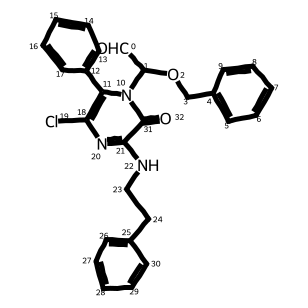 O=CC(OCc1ccccc1)n1c(-c2ccccc2)c(Cl)nc(NCCc2ccccc2)c1=O